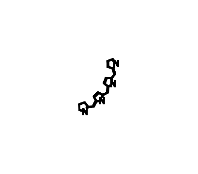 C1=CC(=CC2=NC(=CC3=NC(=CC4=NCCC4)C=C3)C=C2)N=C1